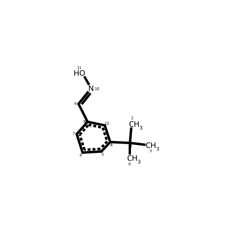 CC(C)(C)c1cccc(C=NO)c1